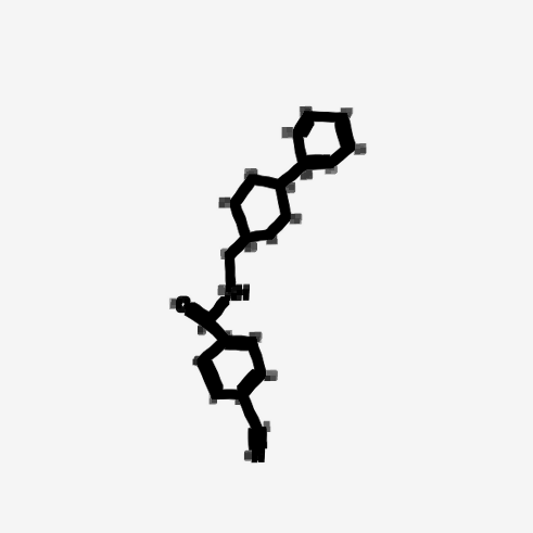 N#Cc1ccc(C(=O)NCC2CCC(c3ccccc3)CC2)cc1